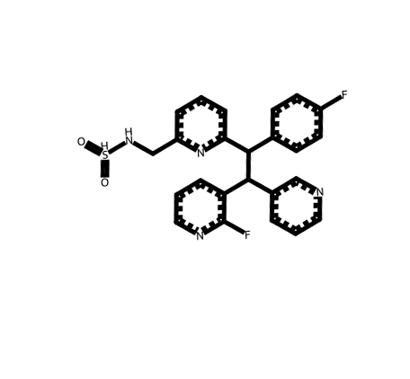 O=[SH](=O)NCc1cccc(C(c2ccc(F)cc2)C(c2cccnc2)c2cccnc2F)n1